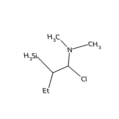 CCC([SiH3])C(Cl)N(C)C